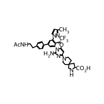 CC(=O)NCCc1ccc(-c2ccc([C@@H](Oc3cc(N4CCC5(CC4)CNC(C(=O)O)C5)nc(N)n3)C(F)(F)F)c(-n3ccc(C)n3)c2)cc1